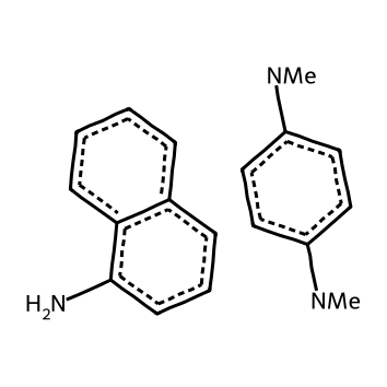 CNc1ccc(NC)cc1.Nc1cccc2ccccc12